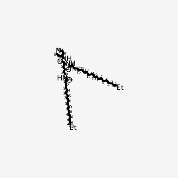 CCC=CCC=CCC=CCC=CCC=CCC=CCCC(=O)NC(CCCCNC(=O)CCCC=CCC=CCC=CCC=CCC=CCC)C(=O)Nc1ccncc1